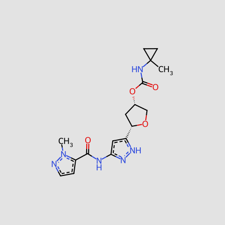 Cn1nccc1C(=O)Nc1cc([C@@H]2C[C@H](OC(=O)NC3(C)CC3)CO2)[nH]n1